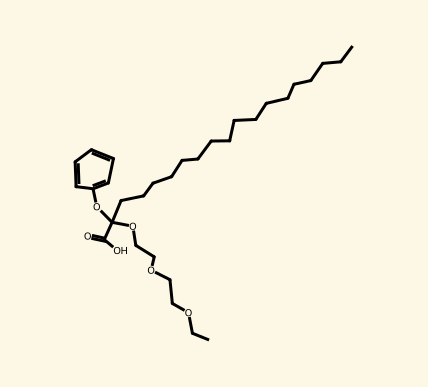 CCCCCCCCCCCCCCCCCC(OCCOCCOCC)(Oc1ccccc1)C(=O)O